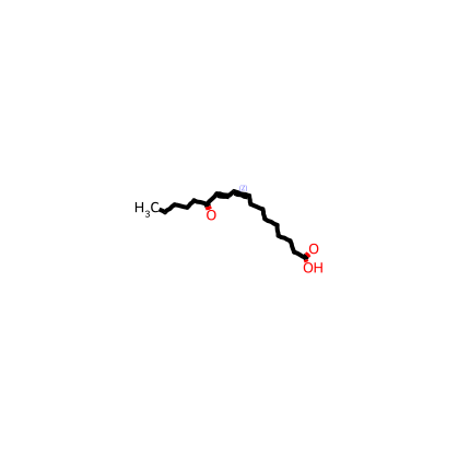 CCCCCC(=O)C=C/C=C\CCCCCCCC(=O)O